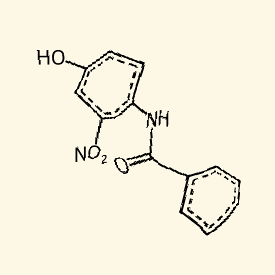 O=C(Nc1ccc(O)cc1[N+](=O)[O-])c1ccccc1